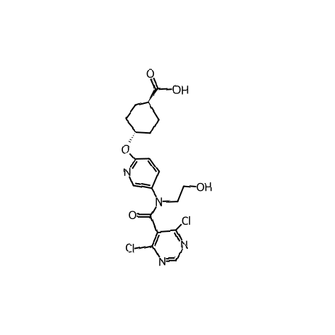 O=C(c1c(Cl)ncnc1Cl)N(CCO)c1ccc(O[C@H]2CC[C@H](C(=O)O)CC2)nc1